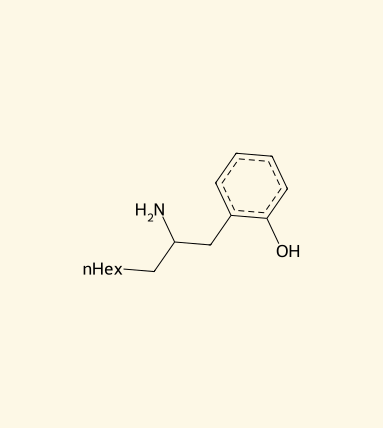 CCCCCCCC(N)Cc1ccccc1O